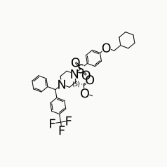 COC(=O)[C@@H]1CN(C(c2ccccc2)c2ccc(C(F)(F)F)cc2)CCN1S(=O)(=O)c1ccc(OCC2CCCCC2)cc1